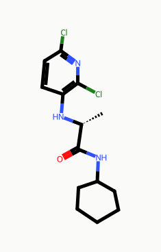 C[C@@H](Nc1ccc(Cl)nc1Cl)C(=O)NC1CCCCC1